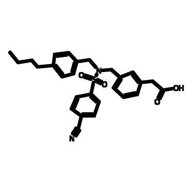 CCCCc1ccc(CN(Cc2cccc(CC(=O)O)c2)S(=O)(=O)c2ccc(C#N)cc2)cc1